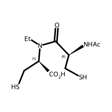 CCN(C(=O)[C@H](CS)NC(C)=O)[C@H](CS)C(=O)O